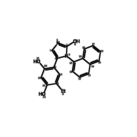 CCc1cc(-c2cnc(O)n2-c2cccc3ccccc23)c(O)cc1O